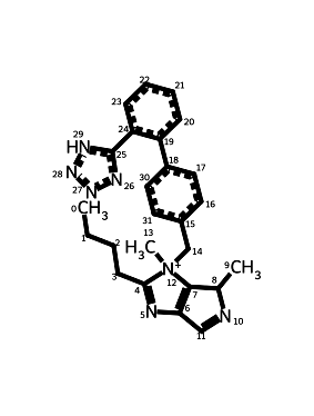 CCCCC1=NC2=C(C(C)N=C2)[N+]1(C)Cc1ccc(-c2ccccc2-c2nnn[nH]2)cc1